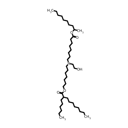 CCCCCCCCC(C)OC(=O)CCCCCCCN(CCO)CCCCCCCOC(=O)C(CCCCCC)CCCCCCCC